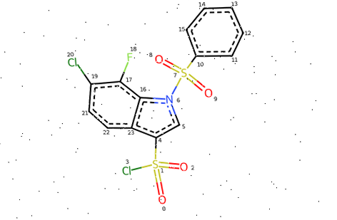 O=S(=O)(Cl)c1cn(S(=O)(=O)c2ccccc2)c2c(F)c(Cl)ccc12